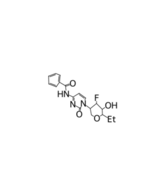 CCC1OCC(n2ccc(NC(=O)c3ccccc3)nc2=O)C(F)C1O